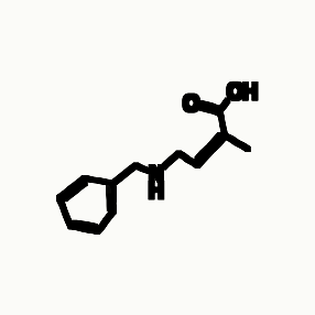 CC(=CCNCc1ccccc1)C(=O)O